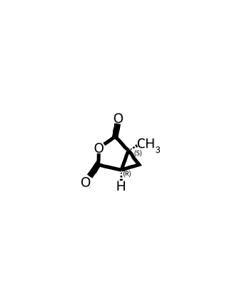 C[C@]12C[C@H]1C(=O)OC2=O